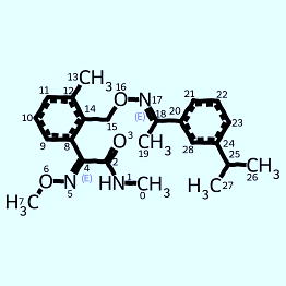 CNC(=O)/C(=N/OC)c1cccc(C)c1CO/N=C(\C)c1cccc(C(C)C)c1